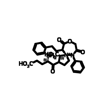 N[C@@H](CCC(=O)O)C(=O)C1CC[N+]2(C(CCc3ccccc3)C(=O)OCC(=O)N2c2ccccc2)[C@@H]1C(=O)O